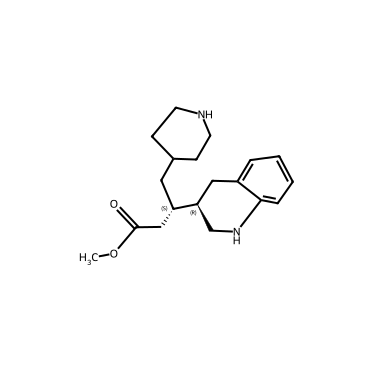 COC(=O)C[C@H](CC1CCNCC1)[C@@H]1CNc2ccccc2C1